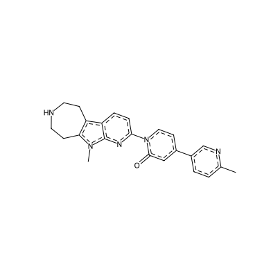 Cc1ccc(-c2ccn(-c3ccc4c5c(n(C)c4n3)CCNCC5)c(=O)c2)cn1